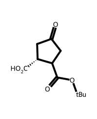 CC(C)(C)OC(=O)C1CC(=O)C[C@H]1C(=O)O